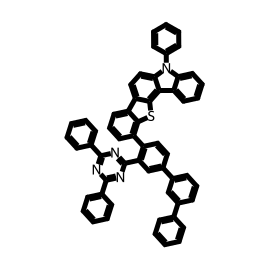 c1ccc(-c2cccc(-c3ccc(-c4cccc5c4sc4c5ccc5c4c4ccccc4n5-c4ccccc4)c(-c4nc(-c5ccccc5)nc(-c5ccccc5)n4)c3)c2)cc1